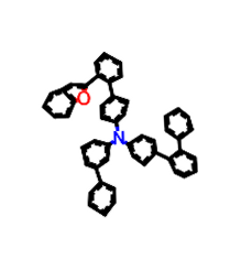 c1ccc(-c2cccc(N(c3ccc(-c4ccccc4-c4ccccc4)cc3)c3ccc(-c4ccccc4-c4cc5ccccc5o4)cc3)c2)cc1